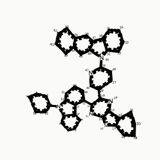 c1ccc(-n2c3ccccc3c3c(-c4nc5sc6ccccc6c5nc4-c4ccc(-n5c6ccccc6c6cc7ccccc7cc65)nc4)cccc32)cc1